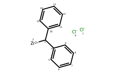 [Cl-].[Cl-].[Zr+2][CH](c1ccccc1)c1ccccc1